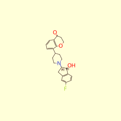 O=C1CCOc2c1cccc2C1CCN([C@@H]2Cc3cc(F)ccc3[C@H]2O)CC1